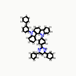 c1ccc(-c2cccc(-n3c4ccccc4c4c3ccc3c5ccccc5n(-c5ccc(-c6nc(-c7ccccc7)cc(-c7ccccc7)n6)cc5)c34)c2)cc1